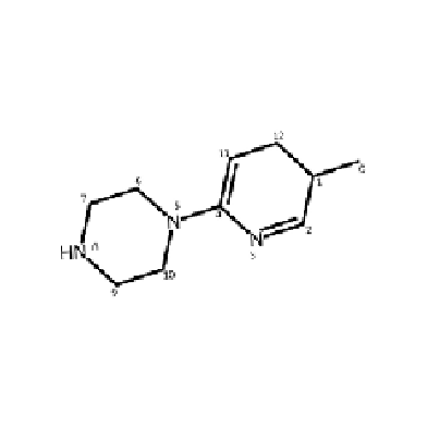 CC1C=NC(N2CCNCC2)=CC1